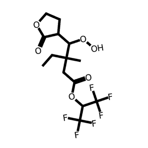 CCC(C)(CC(=O)OC(C(F)(F)F)C(F)(F)F)C(OO)C1CCOC1=O